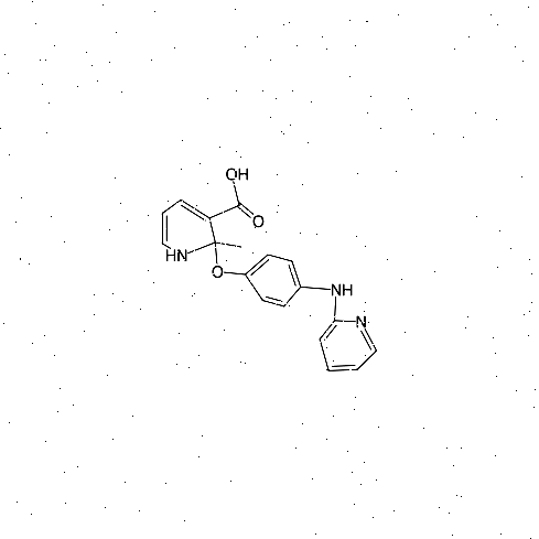 CC1(Oc2ccc(Nc3ccccn3)cc2)NC=CC=C1C(=O)O